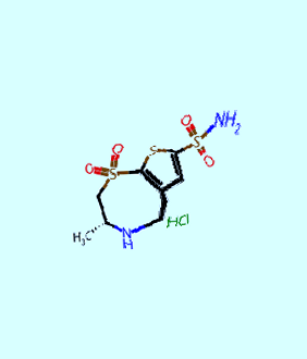 C[C@@H]1CS(=O)(=O)c2sc(S(N)(=O)=O)cc2CN1.Cl